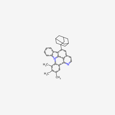 Cc1cc2c3nccc4cc(C56CC7CC(CC(C7)C5)C6)c5c6ccccc6n(c2c(C)c1C)c5c43